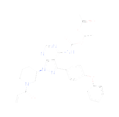 C=CC(=O)N1CCC[C@@H](n2nc(-c3ccc(Oc4ccccc4)cc3)c3c(NC(=O)OC(C)OC(C)=O)ncnc32)C1